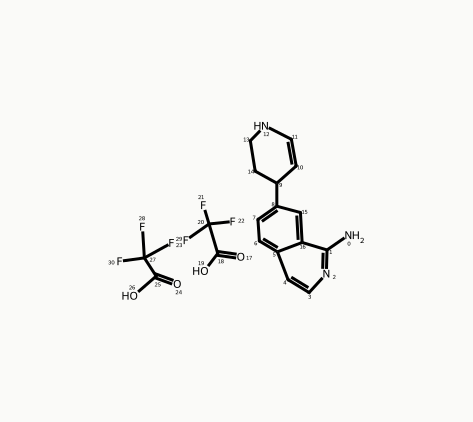 Nc1nccc2ccc(C3C=CNCC3)cc12.O=C(O)C(F)(F)F.O=C(O)C(F)(F)F